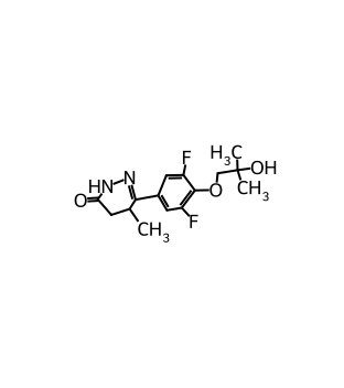 CC1CC(=O)NN=C1c1cc(F)c(OCC(C)(C)O)c(F)c1